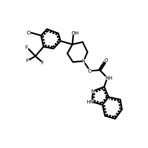 O=C(Nc1n[nH]c2ccccc12)ON1CCC(O)(c2ccc(Cl)c(C(F)(F)F)c2)CC1